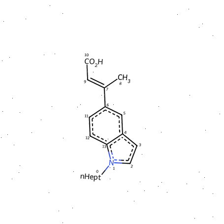 CCCCCCCn1ccc2cc(C(C)=CC(=O)O)ccc21